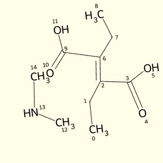 CCC(C(=O)O)=C(CC)C(=O)O.CNC